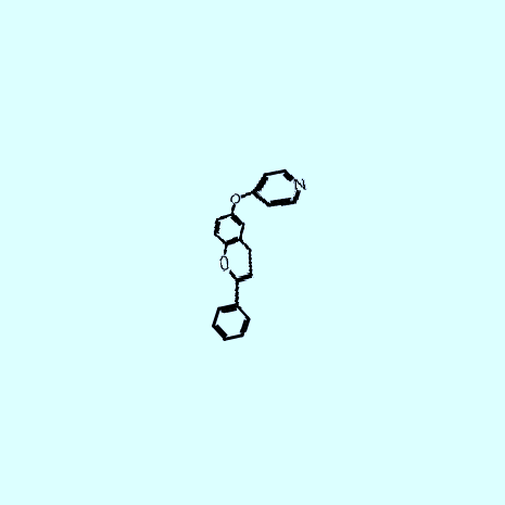 c1ccc(C2CCc3cc(Oc4ccncc4)ccc3O2)cc1